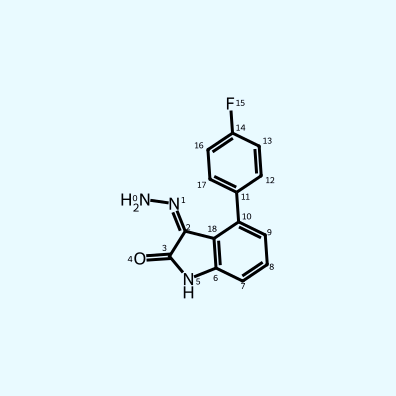 N/N=C1\C(=O)Nc2cccc(-c3ccc(F)cc3)c21